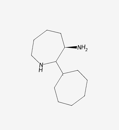 N[C@@H]1CCCCNC1[C]1CCCCCC1